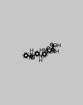 O=C1Nc2cc(Nc3cccc(-c4nnc(-c5ccccc5)[nH]4)c3)ccc2/C1=C/c1cc(C(=O)O)c[nH]1